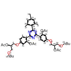 CCCCOCC(COc1ccc(-c2nc(-c3ccc(OCC(COCCCC)OC(C)=O)cc3OC(C)=O)nc(-c3c(C)cc(C)cc3C)n2)c(OC(C)=O)c1)OC(C)=O